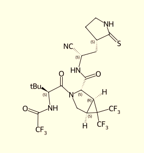 CC(C)(C)[C@H](NC(=O)C(F)(F)F)C(=O)N1C[C@H]2[C@@H]([C@H]1C(=O)N[C@H](C#N)C[C@@H]1CCNC1=S)C2(C(F)(F)F)C(F)(F)F